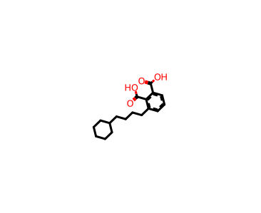 O=C(O)c1cccc(CCCCC2CCCCC2)c1C(=O)O